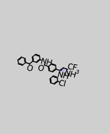 N=C(/C=C(\Nc1ccccc1Cl)c1ccc(C(=O)Nc2cccc(C(=O)c3ccccc3)c2)cc1)C(F)(F)F